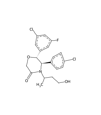 CC(CCO)N1C(=O)CO[C@H](c2cc(F)cc(Cl)c2)[C@H]1c1ccc(Cl)cc1